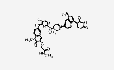 CNC(=O)COc1cc2cc(Nc3nc(N(C)C4CCN(c5ccc6c(C7CCC(=O)NC7=O)cn(C)c6c5)CC4)ncc3Cl)ccc2n(C)c1=O